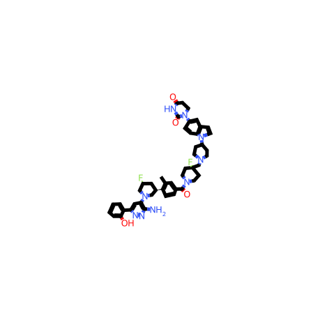 Cc1cc(C(=O)N2CCC(F)(CN3CCC(n4ccc5cc(N6CCC(=O)NC6=O)ccc54)CC3)CC2)ccc1[C@H]1C[C@@H](F)CN(c2cc(-c3ccccc3O)nnc2N)C1